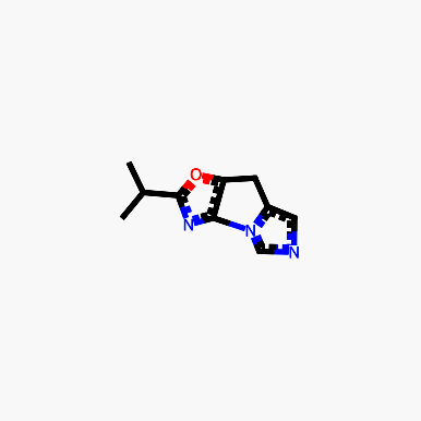 CC(C)c1nc2c(o1)Cc1cncn1-2